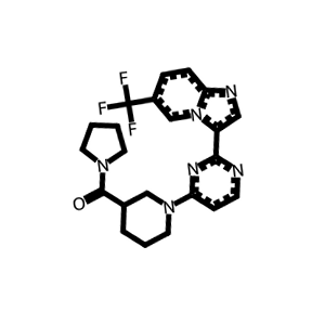 O=C(C1CCCN(c2ccnc(-c3cnc4ccc(C(F)(F)F)cn34)n2)C1)N1CCCC1